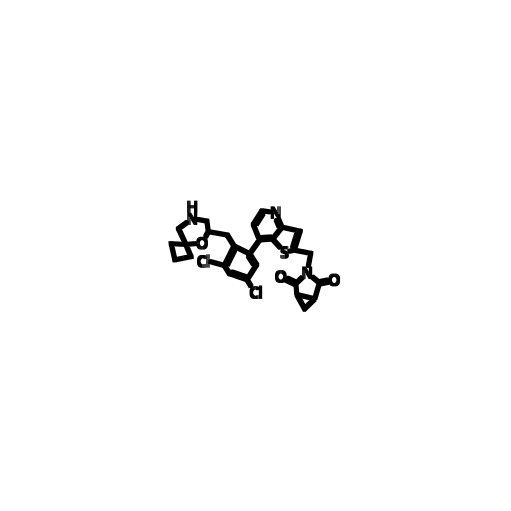 O=C1C2CC2C(=O)N1Cc1cc2nccc(-c3cc(Cl)cc(Cl)c3CC3CNCC4(CCC4)O3)c2s1